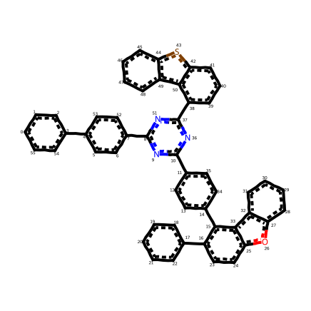 c1ccc(-c2ccc(-c3nc(-c4ccc(-c5c(-c6ccccc6)ccc6oc7ccccc7c56)cc4)nc(-c4cccc5sc6ccccc6c45)n3)cc2)cc1